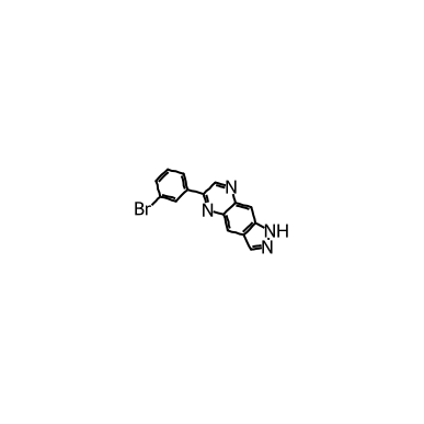 Brc1cccc(-c2cnc3cc4[nH]ncc4cc3n2)c1